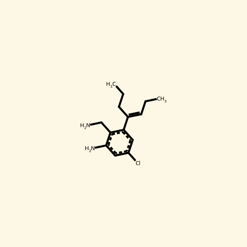 CC/C=C(\CCC)c1cc(Cl)cc(N)c1CN